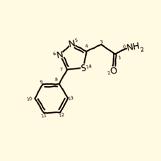 NC(=O)Cc1nnc(-c2ccccc2)s1